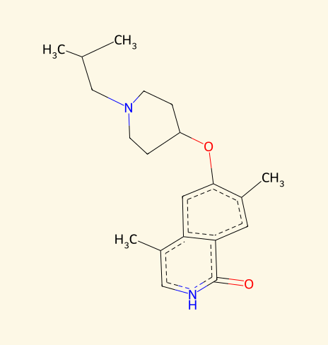 Cc1cc2c(=O)[nH]cc(C)c2cc1OC1CCN(CC(C)C)CC1